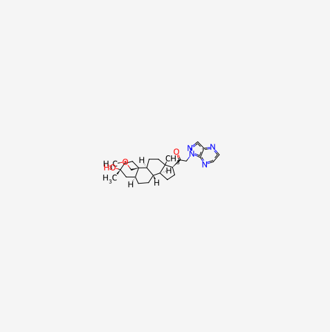 COC[C@]12CC[C@@](C)(O)C[C@@H]1CC[C@H]1[C@@H]3CC[C@H](C(=O)Cn4ncc5nccnc54)C3(C)CC[C@@H]12